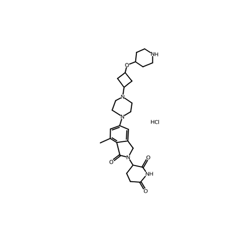 Cc1cc(N2CCN(C3CC(OC4CCNCC4)C3)CC2)cc2c1C(=O)N(C1CCC(=O)NC1=O)C2.Cl